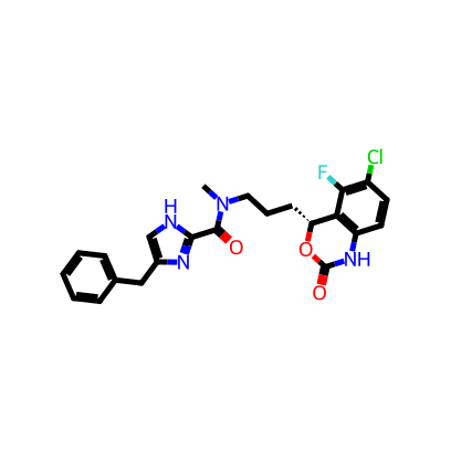 CN(CCC[C@H]1OC(=O)Nc2ccc(Cl)c(F)c21)C(=O)c1nc(Cc2ccccc2)c[nH]1